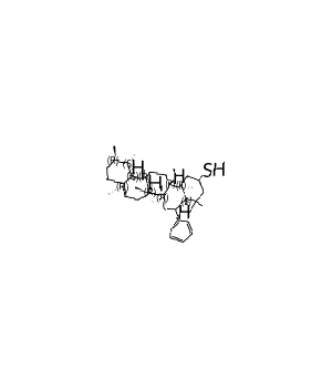 C[C@@H]1[C@H]2[C@H]3CC[C@@H]4[C@@]5(C)CC(S)CC(C)(C)[C@@H]5C(c5ccccc5)C[C@@]4(C)[C@]3(C)CC[C@@]2(C)CC[C@H]1C